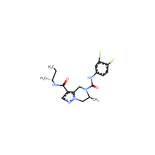 CC[C@@H](C)NC(=O)c1cnn2c1CN(C(=O)Nc1ccc(F)c(F)c1)[C@@H](C)C2